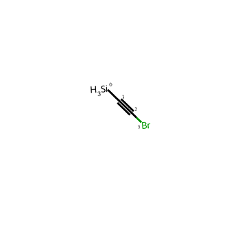 [SiH3]C#CBr